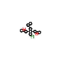 Clc1ccc2c(-c3ccc4c(c3)oc3ccccc34)c3cc(-c4cccc5ccccc45)ccc3c(-c3ccc4c(c3)oc3ccccc34)c2c1